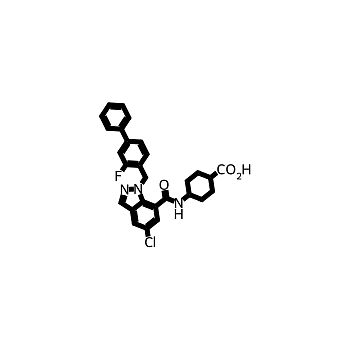 O=C(NC1CCC(C(=O)O)CC1)c1cc(Cl)cc2cnn(Cc3ccc(-c4ccccc4)cc3F)c12